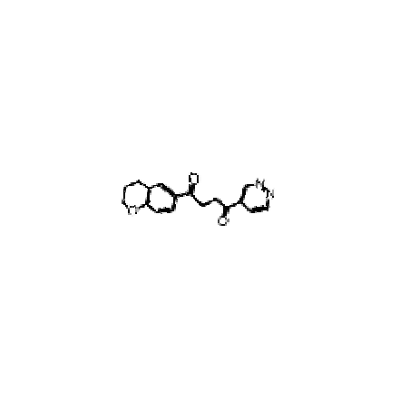 O=C(CCC(=O)c1ccc2c(c1)CCCO2)c1ccnnc1